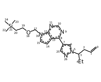 C=CCC(CC)n1cc(-c2ncnc3c2ccn3COCC[Si](C)(C)C)cn1